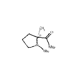 CNC(=O)[C@]1(C)CCCN1C(C)(C)C